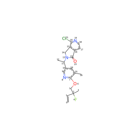 C=CC(C)(F)COc1ncc(C(C)N2Cc3c(ccnc3Cl)C2=O)cc1C